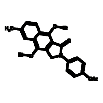 CCOc1c2c(c(OCC)c3ccc(C)cc13)C(=O)N(c1ccc(OC(C)=O)cc1)C2